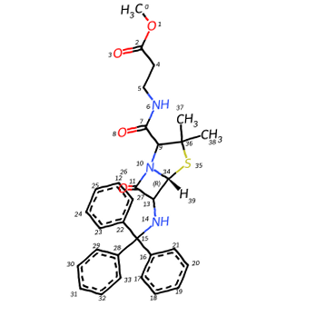 COC(=O)CCNC(=O)C1N2C(=O)C(NC(c3ccccc3)(c3ccccc3)c3ccccc3)[C@H]2SC1(C)C